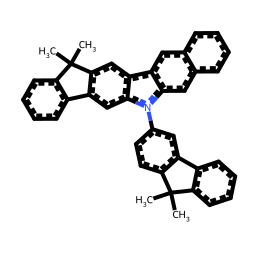 CC1(C)c2ccccc2-c2cc(-n3c4cc5c(cc4c4cc6ccccc6cc43)C(C)(C)c3ccccc3-5)ccc21